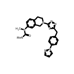 CNC(=O)N(C)c1ccc2c(c1)CN(c1nnc(Cc3ccc(-n4cccn4)cc3)s1)CC2